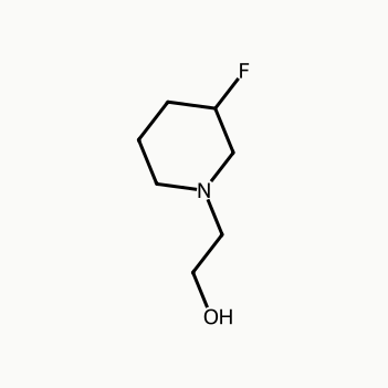 OCCN1CCCC(F)C1